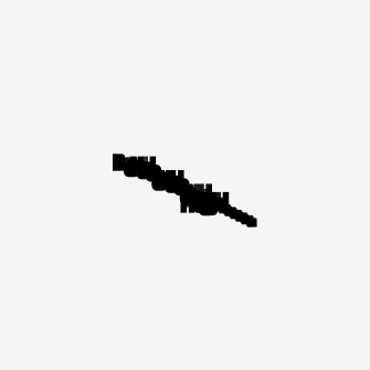 CCCCCCCCCCCCCCCC(=O)N[C@@H](CCCCNC(=O)CCOCCOCCNC(=O)CCOCCOCCNC(=O)CBr)C(=O)O